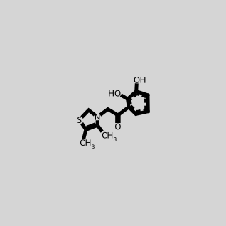 CC1=C(C)N(CC(=O)c2cccc(O)c2O)CS1